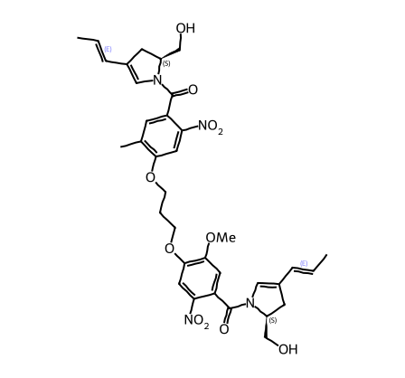 C/C=C/C1=CN(C(=O)c2cc(C)c(OCCCOc3cc([N+](=O)[O-])c(C(=O)N4C=C(/C=C/C)C[C@H]4CO)cc3OC)cc2[N+](=O)[O-])[C@H](CO)C1